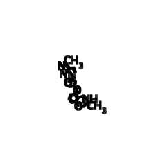 Cc1ncnc2c1ccn2[C@@H]1CC(Oc2cccc3c2CN[C@@H](C)CO3)CO1